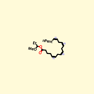 CCCCC/C=C\C/C=C\C/C=C\C/C=C\CCCC(=O)OC(CC)OC